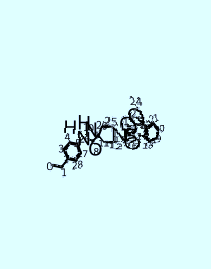 CCc1ccc(NC(=O)C2(N)CCN(S(=O)(=O)c3ccccc3OC)CC2)cc1